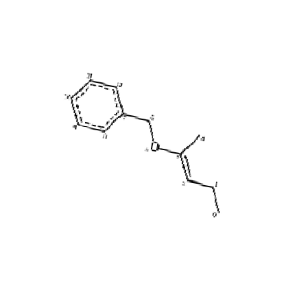 CC/C=C(\C)OCc1ccccc1